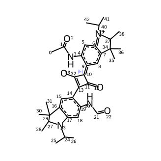 CC(=O)Nc1cc2c(c/c1=C1\C(=O)C(c3cc4c(cc3NC=O)N(C(C)C)C(C)C4(C)C)=C1[O-])C(C)(C)C(C)[N+]=2C(C)C